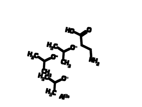 CC(C)[O-].CC(C)[O-].CC(C)[O-].NCCC(=O)O.[Al+3]